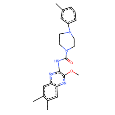 COc1nc2cc(C)c(C)cc2nc1NC(=O)N1CCN(c2cccc(C)c2)CC1